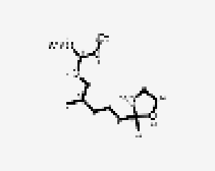 CCOC(OC)OCC(C)CCCC1(C)OCCO1